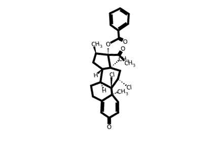 CC(=O)[C@]1(OC(=O)c2ccccc2)[C@H](C)C[C@H]2[C@@H]3CCC4=CC(=O)C=C[C@]4(C)[C@@]3(Cl)[C@@H](Cl)C[C@@]21C